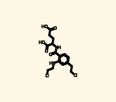 O=C(O)CCC(NC(=O)c1ccc(CCCl)cc1NCCCl)C(=O)O